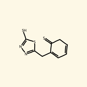 S=C1CC=CC=C1Cc1nnc(S)s1